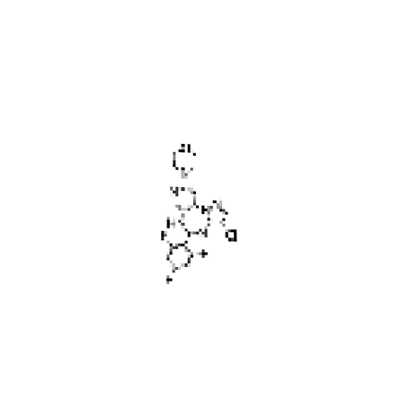 Fc1cc(F)c(C2=Nc3c(Cl)cnn3-c3cc(N4CCOCC4)ncc3N2)c(F)c1